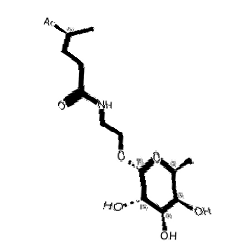 CC(=O)[C@@H](C)CCC(=O)NCCO[C@@H]1O[C@@H](C)[C@@H](O)[C@@H](O)[C@@H]1O